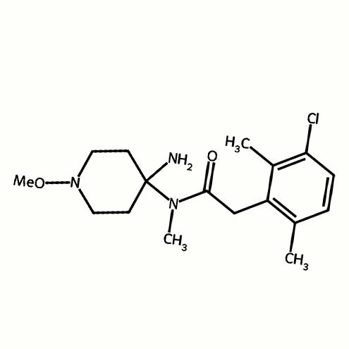 CON1CCC(N)(N(C)C(=O)Cc2c(C)ccc(Cl)c2C)CC1